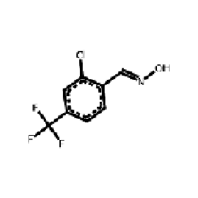 O/N=C/c1ccc(C(F)(F)F)cc1Cl